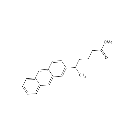 COC(=O)CCCC(C)c1ccc2cc3ccccc3cc2c1